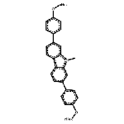 CCCCCCOc1ccc(-c2ccc3c4ccc(-c5ccc(OCCCCCC)cc5)cc4n(C)c3c2)cc1